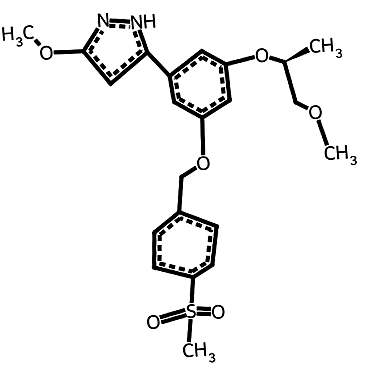 COC[C@H](C)Oc1cc(OCc2ccc(S(C)(=O)=O)cc2)cc(-c2cc(OC)n[nH]2)c1